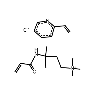 C=CC(=O)NC(C)(C)CC[N+](C)(C)C.C=Cc1ccccn1.[Cl-]